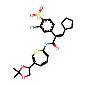 CC1(C)OCC(C2=CSC(NC(=O)/C(=C/C3CCCC3)c3ccc([SH](=O)=O)c(Cl)c3)=CC=C2)O1